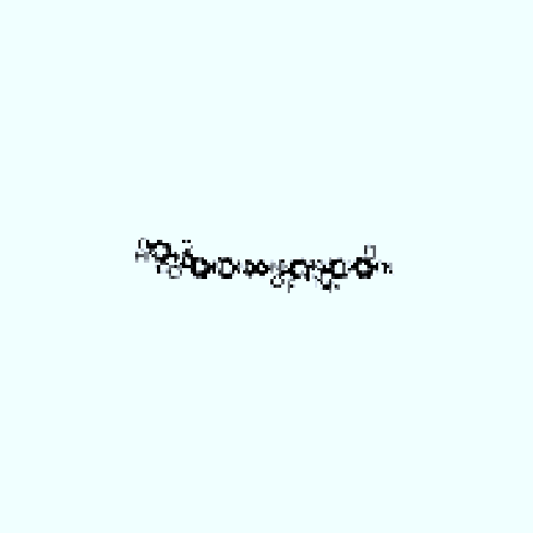 N#Cc1ccc(N2CCc3c(ncnc3Nc3ccc(C(=O)NC4CC5(C4)CN(C4CCN(c6ccc7c(c6)C(=O)N(C6CCC(=O)NC6=O)C7=O)CC4)C5)c(F)n3)C2)cc1Cl